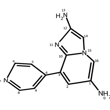 Nc1cc(-c2ccncc2)c2nc(N)cn2c1